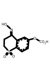 O=C(O)Oc1ccc2c(c1)C(=NO)CCS2(=O)=O